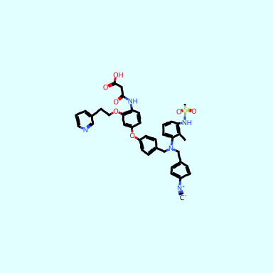 [C-]#[N+]c1ccc(CN(Cc2ccc(Oc3ccc(NC(=O)CC(=O)O)c(OCCc4cccnc4)c3)cc2)c2cccc(NS(C)(=O)=O)c2C)cc1